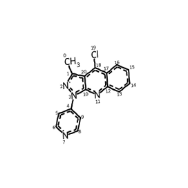 Cc1nn(-c2ccncc2)c2nc3ccccc3c(Cl)c12